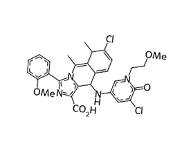 COCCn1cc(NC2C3=CC=C(Cl)C(C)C3=C(C)n3c(-c4ccccc4OC)nc(C(=O)O)c32)cc(Cl)c1=O